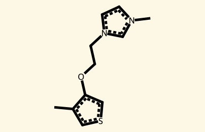 Cc1cscc1OCC[n+]1ccn(C)c1